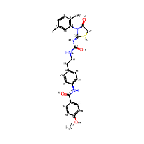 Cc1ccc(C(C)C)c(N2C(=O)CS/C2=N\C(=O)NCCc2ccc(NC(=O)c3ccc(OC(F)(F)F)cc3)cc2)c1